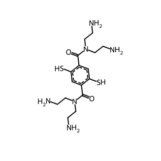 NCCN(CCN)C(=O)c1cc(S)c(C(=O)N(CCN)CCN)cc1S